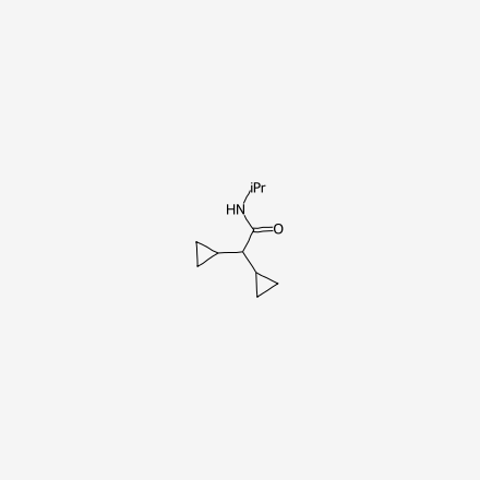 CC(C)NC(=O)C(C1CC1)C1CC1